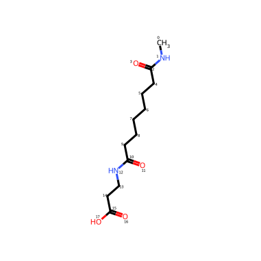 CNC(=O)CCCCCCC(=O)NCCC(=O)O